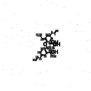 C=CCc1ccc(OC(c2ccc(CC=C)cc2CC=C)C(CO)(CO)CO)c(CC=C)c1